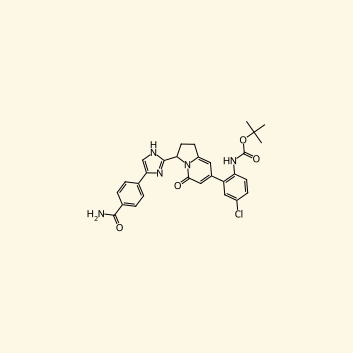 CC(C)(C)OC(=O)Nc1ccc(Cl)cc1-c1cc2n(c(=O)c1)C(c1nc(-c3ccc(C(N)=O)cc3)c[nH]1)CC2